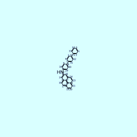 c1ccc(-c2ccc(-c3ccc(Nc4cc5ccc6cccc7ccc(c4)c5c67)cc3)cc2)cc1